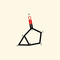 O=C1CCC2CC12